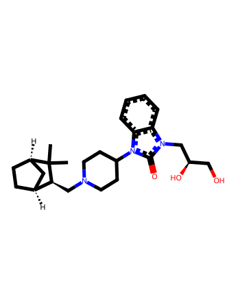 CC1(C)[C@@H]2CC[C@@H](C2)[C@@H]1CN1CCC(n2c(=O)n(C[C@H](O)CO)c3ccccc32)CC1